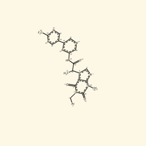 CC(=O)Cn1c(=O)c2c(ncn2C(C)C(=O)Nc2cncc(-c3cnc(C(F)(F)F)nc3)n2)n(C)c1=O